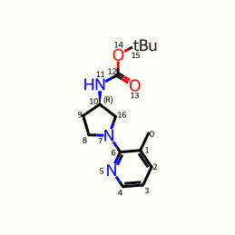 Cc1cccnc1N1CC[C@@H](NC(=O)OC(C)(C)C)C1